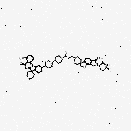 O=C1CC[C@H](N2Cc3c(ccc4c3OCC43CCN(CCC(=O)N4CCC(N5CCC(c6ccc7c(c6)-n6c(nc(=O)c8c(Cl)cccc86)C76CCCCC6)CC5)CC4)CC3)C2=O)C(=O)N1